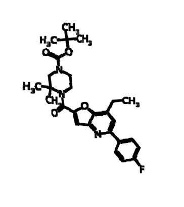 CCc1cc(-c2ccc(F)cc2)nc2cc(C(=O)N3CCN(C(=O)OC(C)(C)C)CC3(C)C)oc12